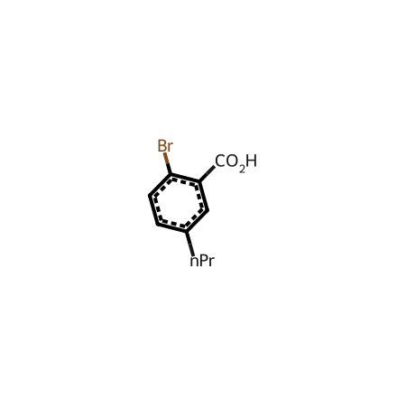 CCCc1ccc(Br)c(C(=O)O)c1